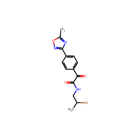 CC(S)CNC(=O)C(=O)c1ccc(-c2noc(C(F)(F)F)n2)cc1